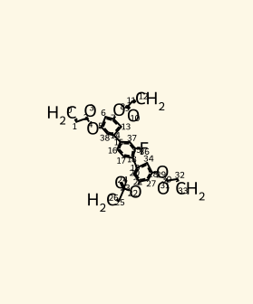 C=CC(=O)Oc1cc(OC(=O)C=C)cc(-c2ccc(-c3cc(OC(=O)C=C)cc(OC(=O)C=C)c3)c(F)c2)c1